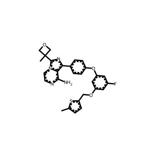 Cc1ccc(COc2cc(F)cc(Oc3ccc(-c4nc(C5(C)COC5)n5ccnc(N)c45)cc3)c2)s1